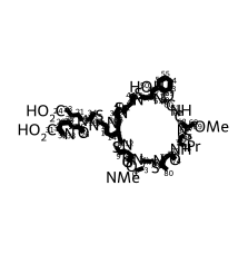 CNC(=O)C[C@@H]1NC(=O)c2csc(n2)-c2ccc(-c3nc(N(CCCC(=O)O)C(=O)c4ccc(C(=O)O)cn4)cs3)nc2-c2csc(n2)-c2csc(n2)[C@H]([C@@H](O)c2ccccc2)NC(=O)CNCc2nc(sc2COC)C(C(C)C)NC(=O)c2nc1sc2C